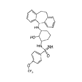 N=S(=O)(NC1CCCC(NC2c3ccccc3CCc3ccccc32)C1O)c1ccc(OC(F)(F)F)cc1